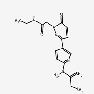 C=C(CC)N(C)c1ccc(-c2ccc(=O)n(CC(=O)NCC)n2)cn1